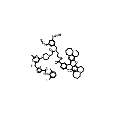 Cc1nc(Nc2ncc(C(=O)Nc3c(C)cccc3Cl)s2)cc(N2CCN(CC(=O)N(CCNC(=O)c3ccc(C(=O)O)c(C4=c5cc6c7c(c5Oc5c4cc4c8c5CCCN8CCCC4)CCC[N+]=7CCCC6)c3)Cc3cc(N=[N+]=[N-])cc(N=[N+]=[N-])c3)CC2)n1